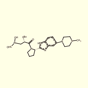 CCCC[C@@H](CN(O)C=O)C(=O)N1CCC[C@H]1c1nc2cc(N3CCN(C)CC3)ccc2[nH]1